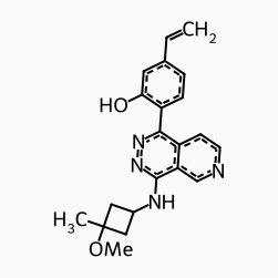 C=Cc1ccc(-c2nnc(NC3CC(C)(OC)C3)c3cnccc23)c(O)c1